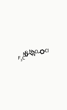 Cn1nc(C(F)(F)F)cc1-c1cnc(OCc2ccc(Cl)cc2)cn1